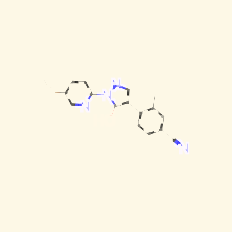 CSc1ccc(-n2ncc(-c3ccc(C#N)cc3C)c2O)nc1